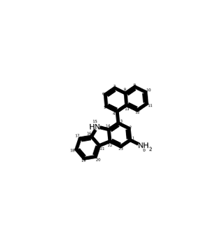 Nc1cc(-c2cccc3ccccc23)c2[nH]c3ccccc3c2c1